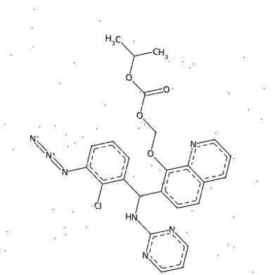 CC(C)OC(=O)OCOc1c(C(Nc2ncccn2)c2cccc(N=[N+]=[N-])c2Cl)ccc2cccnc12